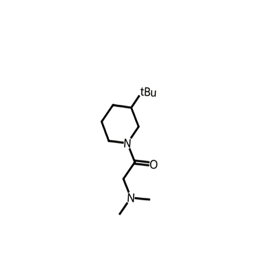 CN(C)CC(=O)N1CCCC(C(C)(C)C)C1